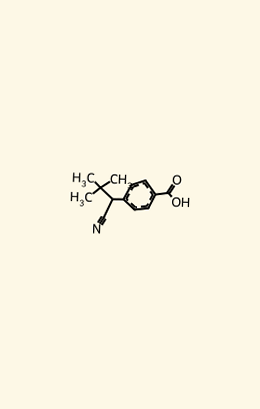 CC(C)(C)C(C#N)c1ccc(C(=O)O)cc1